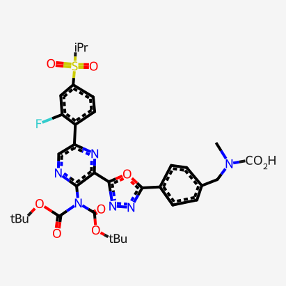 CC(C)S(=O)(=O)c1ccc(-c2cnc(N(C(=O)OC(C)(C)C)C(=O)OC(C)(C)C)c(-c3nnc(-c4ccc(CN(C)C(=O)O)cc4)o3)n2)c(F)c1